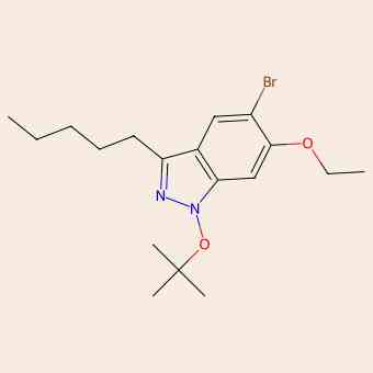 CCCCCc1nn(OC(C)(C)C)c2cc(OCC)c(Br)cc12